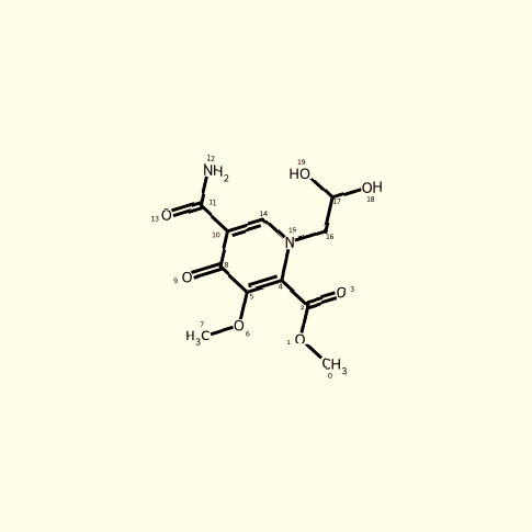 COC(=O)c1c(OC)c(=O)c(C(N)=O)cn1CC(O)O